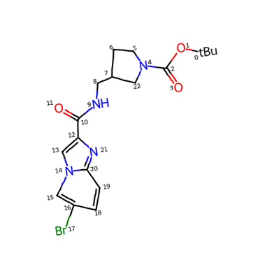 CC(C)(C)OC(=O)N1CCC(CNC(=O)c2cn3cc(Br)ccc3n2)C1